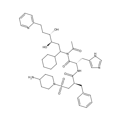 CC(=O)N(C(=O)[C@H](Cc1cnc[nH]1)NC(=O)[C@@H](Cc1ccccc1)CS(=O)(=O)N1CCC(N)CC1)C(C[C@@H](O)[C@@H](O)CCc1ccccn1)C1CCCCC1